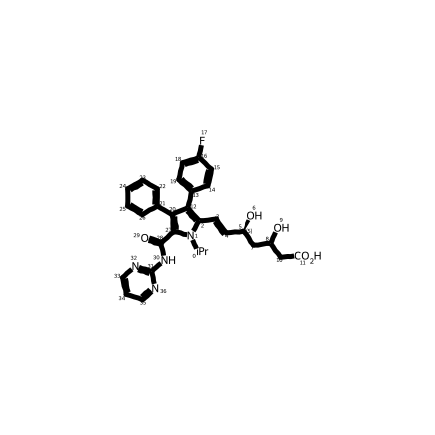 CC(C)n1c(C=C[C@@H](O)CC(O)CC(=O)O)c(-c2ccc(F)cc2)c(-c2ccccc2)c1C(=O)Nc1ncccn1